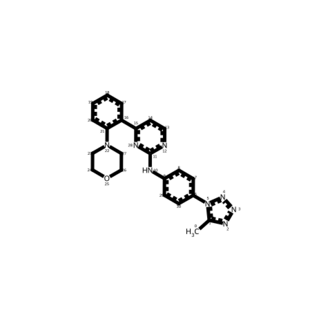 Cc1nnnn1-c1ccc(Nc2nccc(-c3ccccc3N3CCOCC3)n2)cc1